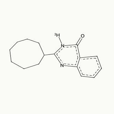 [2H]n1c(C2CCCCCCC2)nc2ccccc2c1=O